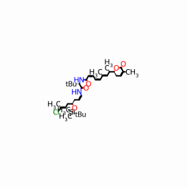 CC1=CC[C@@H]([C@@H](C)/C=C(C)/C=C\C=C/C(=O)N[C@H](C(=O)N/C=C\C[C@H](C/C=C(\C)Cl)O[Si](C)(C)C(C)(C)C)C(C)(C)C)OC1=O